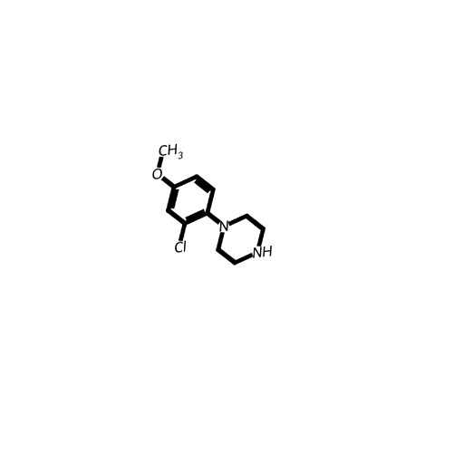 COc1ccc(N2CCNCC2)c(Cl)c1